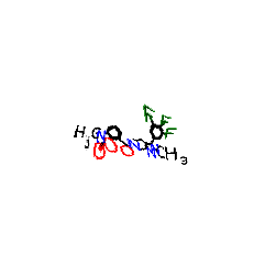 Cn1nc2c(c1-c1cc(F)c(F)c(F)c1)CCN(C(=O)c1cccc3c1oc(=O)n3C)C2